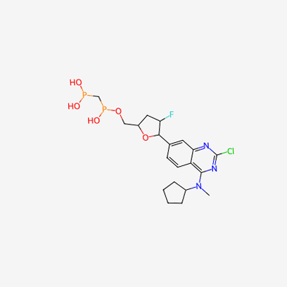 CN(c1nc(Cl)nc2cc(C3OC(COP(O)CP(O)O)CC3F)ccc12)C1CCCC1